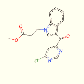 COC(=O)CCn1cc(C(=O)c2cc(Cl)ncn2)c2ccccc21